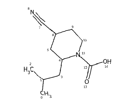 CC(C)CC1CC(C#N)CCN1C(=O)O